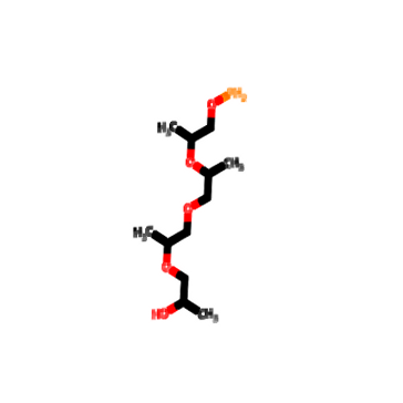 CC(O)COC(C)COCC(C)OC(C)COP